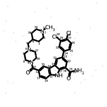 CN1CCC(CN2CCN(C(=O)c3ccc4[nH]c5c(C(N)=O)cc(-c6ccc(Cl)c(Cl)c6)cc5c4c3)CC2)CC1